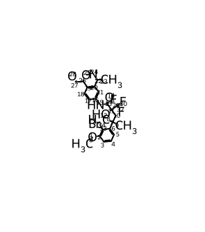 COc1cccc(C(C)(C)CC(O)(C(=O)Nc2ccc3c(c2)C(C)=NOC3C=O)C(F)(F)F)c1Br